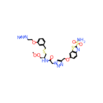 COOC[C@@H](CSCc1cccc(OCCN=[N+]=[N-])c1)NC(=O)Cn1cc(COc2ccc3nc(S(N)(=O)=O)sc3c2)nn1